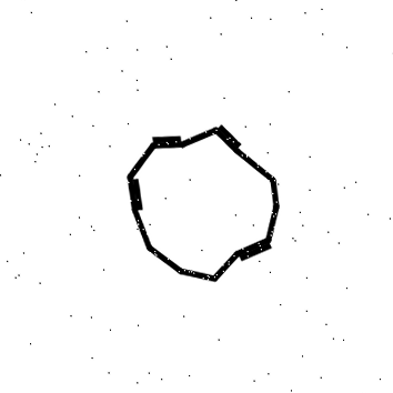 [C]1=C/C=C\CCC/C=C/CC/C=C/1